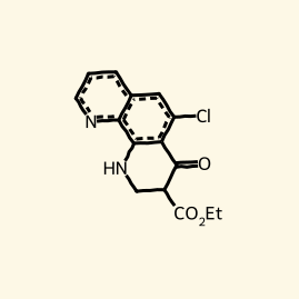 CCOC(=O)C1CNc2c(c(Cl)cc3cccnc23)C1=O